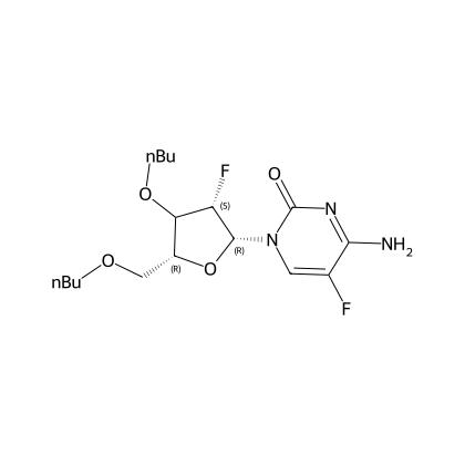 CCCCOC[C@H]1O[C@@H](n2cc(F)c(N)nc2=O)[C@@H](F)C1OCCCC